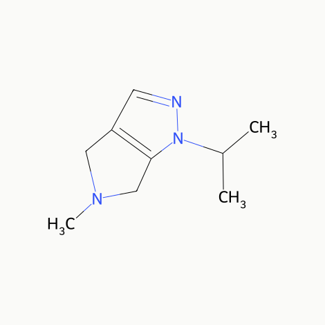 CC(C)n1ncc2c1CN(C)C2